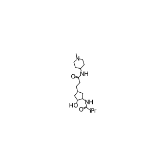 CC(C)C(=O)NC1CC(CCC(=O)NC2CCN(C)CC2)CC1O